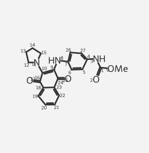 COC(=O)Nc1ccc(NC2=C(N3CCCC3)C(=O)c3ccccc3C2=O)cc1